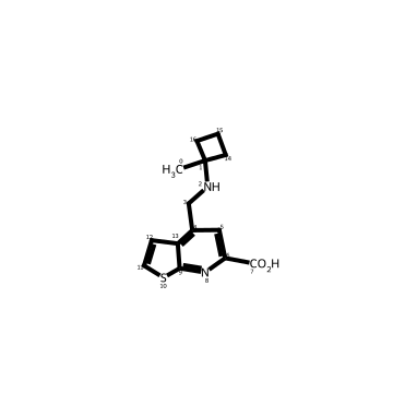 CC1(NCc2cc(C(=O)O)nc3sccc23)CCC1